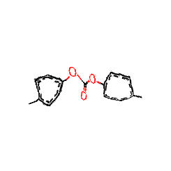 Cc1ccc(OC(=O)Oc2ccc(C)cc2)cc1